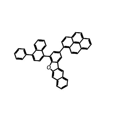 c1ccc(-c2ccc(-c3cc(-c4ccc5ccc6cccc7ccc4c5c67)cc4c3oc3cc5ccccc5cc34)c3ccccc23)cc1